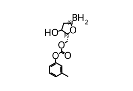 B[C@H]1CC(O)[C@@H](COC(=O)Oc2cccc(C)c2)O1